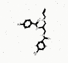 C=CCOCC(COC(=O)c1ccc(C(C)=O)cc1)OC(=O)c1ccc(C(C)=O)cc1